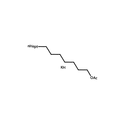 CCCCCCCCCCCCCCOC(C)=O.[KH]